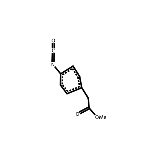 COC(=O)Cc1ccc(N=C=O)cc1